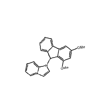 COc1cc(OC)c2c(c1)-c1ccccc1C2n1ccc2ccccc21